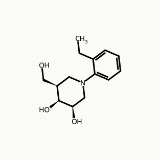 CCc1ccccc1N1C[C@H](CO)[C@H](O)[C@H](O)C1